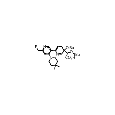 CC(C)COC1(C(OC(C)(C)C)C(=O)O)C=NC(c2cnc(CF)cc2N2CCC(C)(C)CC2)=CC1